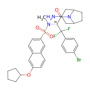 CN([C@H](C(=O)N1C2CCC1CC(N)C2)C(F)(F)c1ccc(Br)cc1)S(=O)(=O)c1ccc2cc(OC3CCCC3)ccc2c1